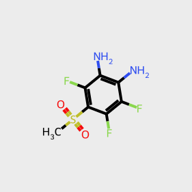 CS(=O)(=O)c1c(F)c(N)c(N)c(F)c1F